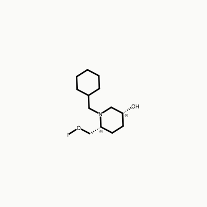 O[C@@H]1CC[C@H](COI)N(CC2CCCCC2)C1